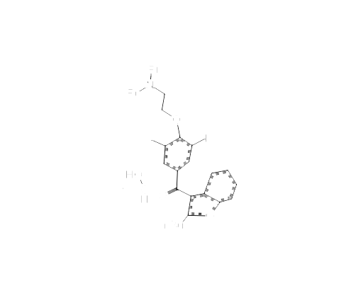 CCCCc1oc2ccccc2c1C(=O)c1cc(I)c(OCCN(CC)CC)c(I)c1.CO.Cl